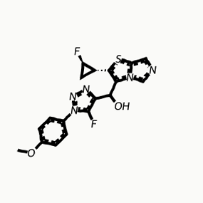 COc1ccc(-n2nnc(C(O)c3c([C@@H]4C[C@H]4F)sc4cncn34)c2F)cc1